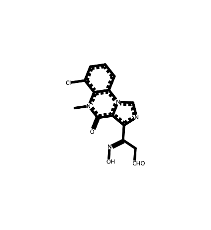 Cn1c(=O)c2c(C(CC=O)=NO)ncn2c2cccc(Cl)c21